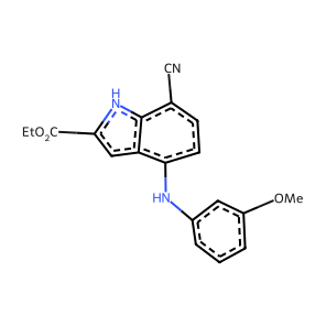 CCOC(=O)c1cc2c(Nc3cccc(OC)c3)ccc(C#N)c2[nH]1